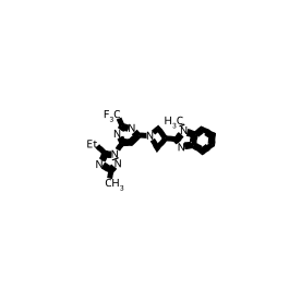 CCc1nc(C)nn1-c1cc(N2CC(c3nc4ccccc4n3C)C2)nc(C(F)(F)F)n1